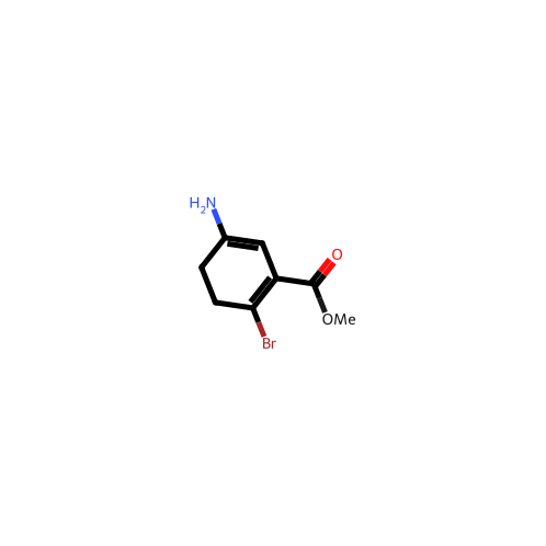 COC(=O)C1=C(Br)CCC(N)=C1